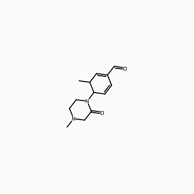 CC1C=C(C=O)C=CC1N1CCN(C)CC1=O